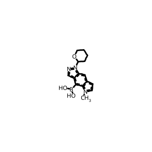 Cn1ccc2cc3c(cnn3C3CCCCO3)c(B(O)O)c21